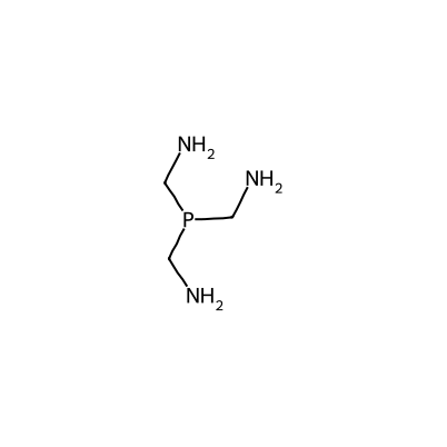 NCP(CN)CN